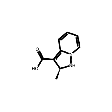 C[C@@H]1NN2C=CC=CC2=C1C(=O)O